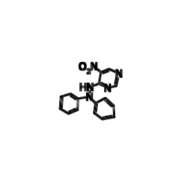 O=[N+]([O-])c1cncnc1NN(c1ccccc1)c1ccccc1